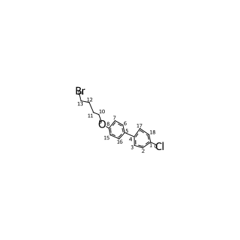 Clc1ccc(-c2ccc(OCCCCBr)cc2)cc1